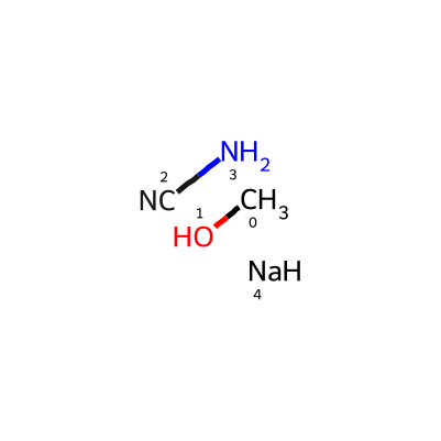 CO.N#CN.[NaH]